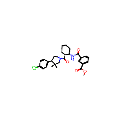 COC(=O)c1cccc(C(=O)N[C@@H]2CCCC[C@@H]2C(=O)N2CCC(c3ccc(Cl)cc3)C(C)(C)C2)c1